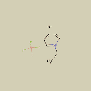 CC[n+]1ccccc1.F[B-](F)(F)F.[H+]